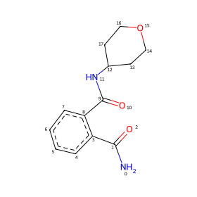 NC(=O)c1ccccc1C(=O)NC1CCOCC1